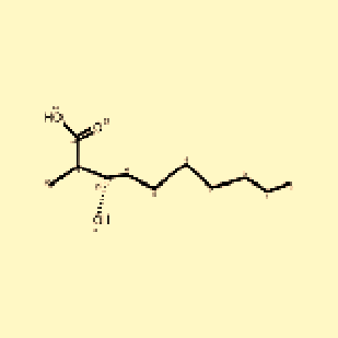 CCCCCCC[C@H](O)C(C)C(=O)O